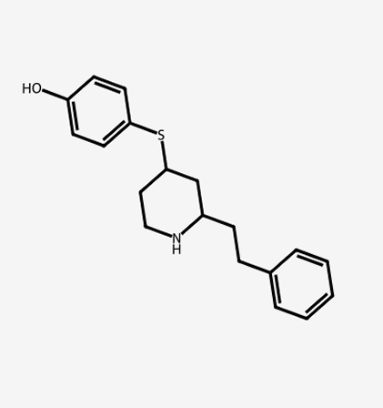 Oc1ccc(SC2CCNC(CCc3ccccc3)C2)cc1